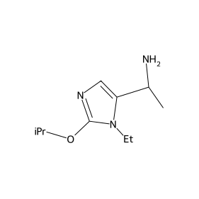 CCn1c(C(C)N)cnc1OC(C)C